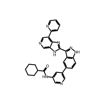 O=C(Nc1cncc(-c2ccc3[nH]nc(-c4nc5c(-c6ccccn6)cncc5[nH]4)c3c2)c1)C1CCCCC1